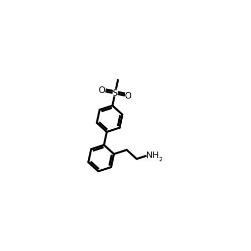 CS(=O)(=O)c1ccc(-c2ccccc2CCN)cc1